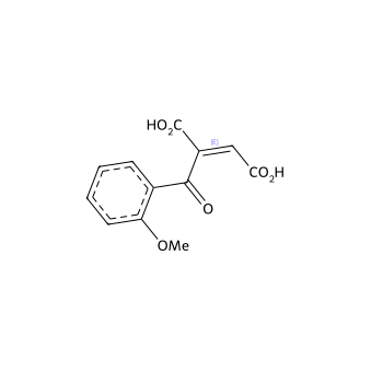 COc1ccccc1C(=O)/C(=C\C(=O)O)C(=O)O